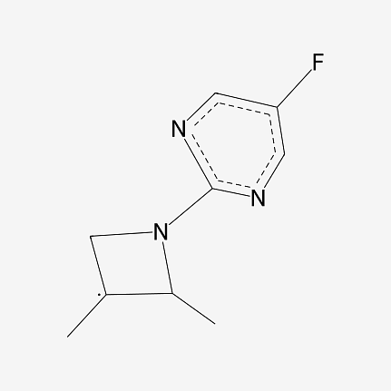 C[C]1CN(c2ncc(F)cn2)C1C